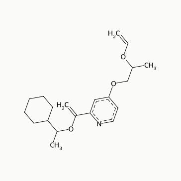 C=COC(C)COc1ccnc(C(=C)OC(C)C2CCCCC2)c1